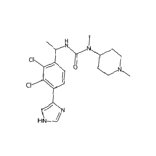 CC(NC(=O)N(C)C1CCN(C)CC1)c1ccc(-c2c[nH]cn2)c(Cl)c1Cl